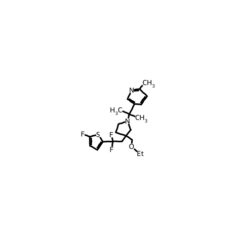 CCOCC1(CC(F)(F)c2ccc(F)s2)CCN(C(C)(C)c2ccc(C)nc2)C1